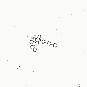 c1ccc(-c2ccc(-c3ccc(N(c4ccc(-c5cccc6ccccc56)cc4)c4cccc5oc6nc7ccccc7cc6c45)cc3)cc2)cc1